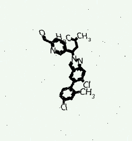 Cc1cc(Cl)ccc1-c1cc2cn(C(CC(C)C)c3ccc(C=O)nc3)nc2cc1Cl